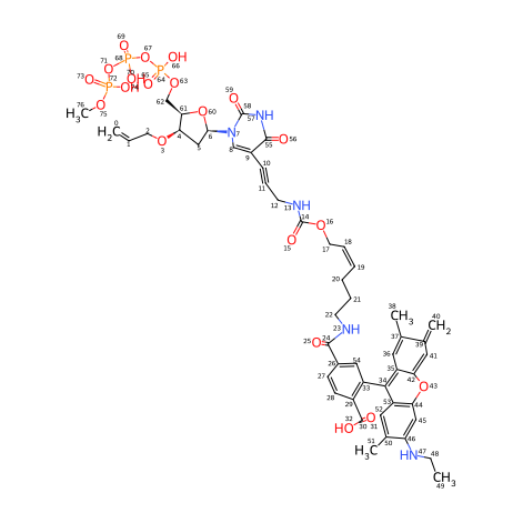 C=CCO[C@@H]1C[C@H](n2cc(C#CCNC(=O)OC/C=C\CCCNC(=O)c3ccc(C(=O)O)c(C4=c5cc(C)c(=C)cc5Oc5cc(NCC)c(C)cc54)c3)c(=O)[nH]c2=O)O[C@@H]1COP(=O)(O)OP(=O)(O)OP(=O)(O)OC